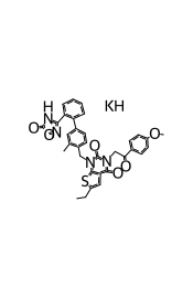 CCc1cc2c(=O)n(CC(=O)c3ccc(OC)cc3)c(=O)n(Cc3ccc(-c4ccccc4-c4noc(=O)[nH]4)cc3C)c2s1.[KH]